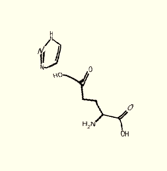 NC(CCC(=O)O)C(=O)O.c1c[nH]nn1